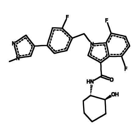 Cn1cc(-c2ccc(Cn3cc(C(=O)N[C@H]4CCCC[C@@H]4O)c4c(F)ccc(F)c43)c(F)c2)cn1